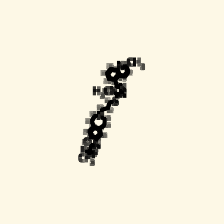 Cc1ccc2c(-c3nnc(SCCCN4CCc5cc6nc(C(F)(F)C(F)(F)F)oc6cc5CC4)n3C)cccc2n1